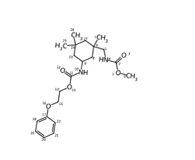 COC(=O)NCC1(C)CC(NC(=O)OCCOc2ccccc2)CC(C)(C)C1